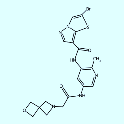 Cc1ncc(NC(=O)CN2CC3(COC3)C2)cc1NC(=O)c1cnn2cc(Br)sc12